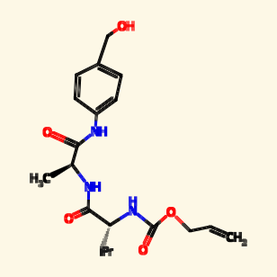 C=CCOC(=O)N[C@@H](C(=O)N[C@@H](C)C(=O)Nc1ccc(CO)cc1)C(C)C